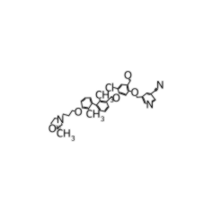 Cc1c(COc2cc(OCc3cncc(C#N)c3)c(C=O)cc2Cl)cccc1-c1cccc(OCCCN2CCO[C@@H](C)C2)c1C